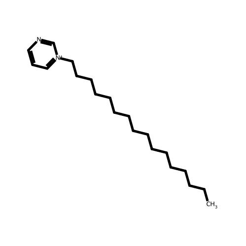 CCCCCCCCCCCCCCCC[n+]1cccnc1